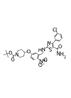 CC(C)(C)OC(=O)N1CCC(Oc2ccc([N+](=O)[O-])c(CNc3nc(-c4cccc(Cl)c4)c(C(N)=O)s3)c2)CC1